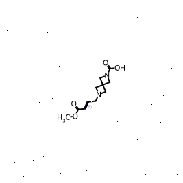 COC(=O)/C=C/CN1CC2(C1)CN(C(=O)O)C2